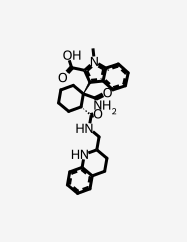 Cn1c(C(=O)O)c([C@]2(C(N)=O)CCCC[C@H]2C(=O)NCC2CCc3ccccc3N2)c2ccccc21